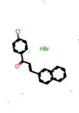 Br.O=C(C=Cc1ccc2ccccc2c1)c1ccc(Cl)cc1